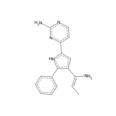 CC=C(N)c1cc(-c2ccnc(N)n2)[nH]c1-c1ccccc1